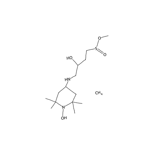 C.COS(=O)CCC(O)CNC1CC(C)(C)N(O)C(C)(C)C1